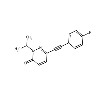 CC(C)n1nc(C#Cc2ccc(F)cc2)ccc1=O